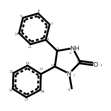 CN1C(=O)NC(c2ccccc2)C1c1ccccc1